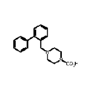 O=C(O)N1CCN(Cc2ccccc2-c2ccccc2)CC1